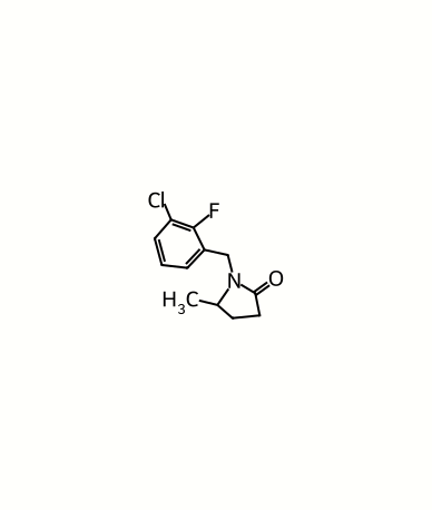 CC1CCC(=O)N1Cc1cccc(Cl)c1F